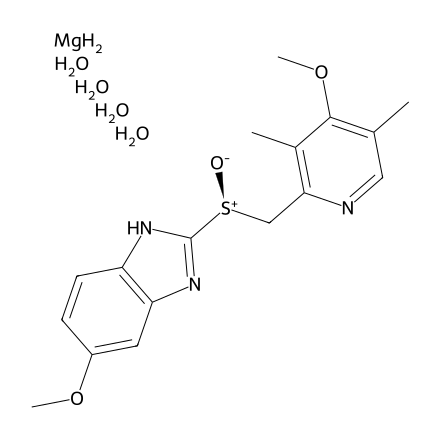 COc1ccc2[nH]c([S@@+]([O-])Cc3ncc(C)c(OC)c3C)nc2c1.O.O.O.O.[MgH2]